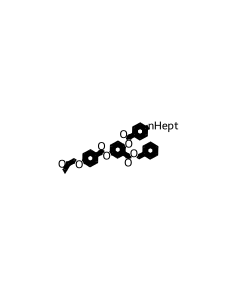 CCCCCCCc1ccc(C(=O)Oc2ccc(OC(=O)c3ccc(OCC4CO4)cc3)cc2C(=O)OCc2ccccc2)cc1